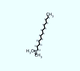 CCCCCCCCCCCCCC[Si](C)C